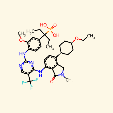 CCO[C@H]1CC[C@@H](c2ccc(Nc3nc(Nc4ccc(C(CC)(CC)P(=O)(O)O)cc4OC)ncc3C(F)(F)F)c3c2CN(C)C3=O)CC1